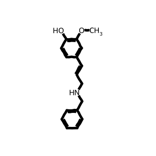 COc1cc(/C=C/CNCc2ccccc2)ccc1O